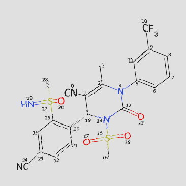 [C-]#[N+]C1=C(C)N(c2cccc(C(F)(F)F)c2)C(=O)N(S(C)(=O)=O)[C@@H]1c1ccc(C#N)cc1[S@@](C)(=N)=O